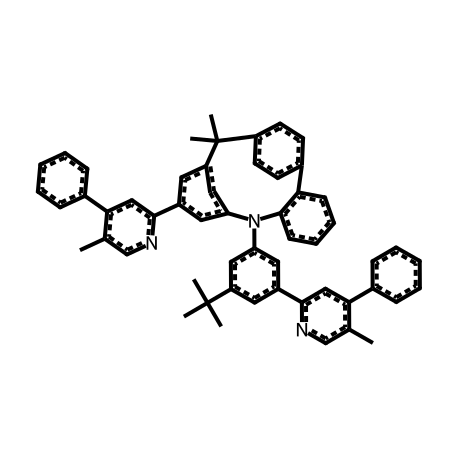 Cc1cnc(-c2cc(N3c4cc(-c5cc(-c6ccccc6)c(C)cn5)cc(c4)C(C)(C)c4ccc(cc4)-c4ccccc43)cc(C(C)(C)C)c2)cc1-c1ccccc1